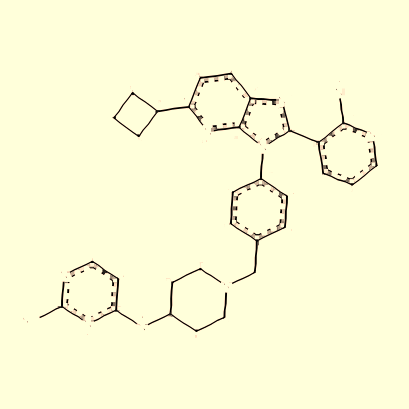 N#Cc1nccc(NC2CCN(Cc3ccc(-n4c(-c5cccnc5N)nc5ccc(C6CCC6)nc54)cc3)CC2)n1